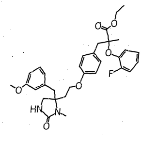 CCOC(=O)C(C)(Cc1ccc(OCCC2(Cc3cccc(OC)c3)CNC(=O)N2C)cc1)Oc1ccccc1F